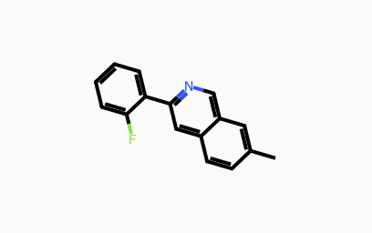 Cc1ccc2cc(-c3ccccc3F)ncc2c1